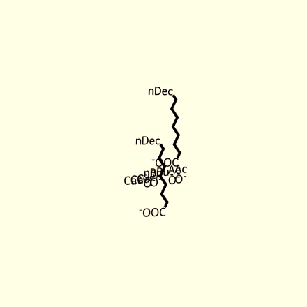 CC(=O)[O-].CC(=O)[O-].CCCCCCCCCCCCCCCCCC(=O)[O-].CCCCCCCCCCCCCCCCCC(=O)[O-].CCCC[O-].CCCC[O-].[Ca+2].[Ca+2].[Ca+2]